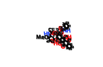 CO[C@@H]1[C@@H](NC(=O)C(F)(F)F)C[C@H](O[C@H]2CC(O)([C@@H](C)OC(=O)Nc3ccccc3)Cc3c(O)c4c(c(O)c32)C(=O)c2ccccc2C4=O)O[C@@H]1C